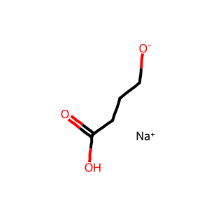 O=C(O)CCC[O-].[Na+]